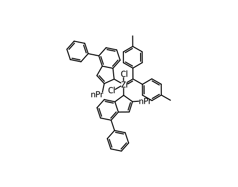 CCCC1=Cc2c(-c3ccccc3)cccc2[CH]1[Zr]([Cl])([Cl])(=[C](c1ccc(C)cc1)c1ccc(C)cc1)[CH]1C(CCC)=Cc2c(-c3ccccc3)cccc21